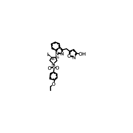 CCOc1ccc(S(=O)(=O)N2C[C@@H](I)[C@@H](n3nc(Cc4cc(O)no4)c4ccccc43)C2)cc1